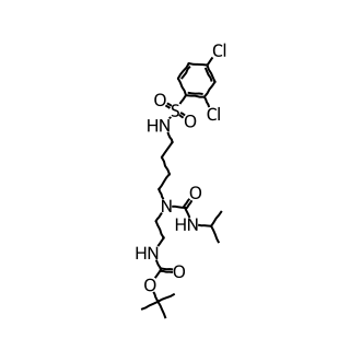 CC(C)NC(=O)N(CCCCNS(=O)(=O)c1ccc(Cl)cc1Cl)CCNC(=O)OC(C)(C)C